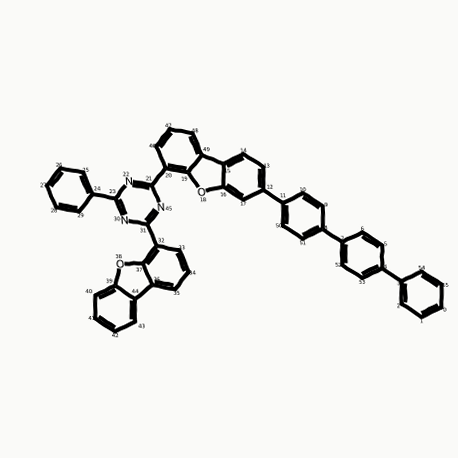 c1ccc(-c2ccc(-c3ccc(-c4ccc5c(c4)oc4c(-c6nc(-c7ccccc7)nc(-c7cccc8c7oc7ccccc78)n6)cccc45)cc3)cc2)cc1